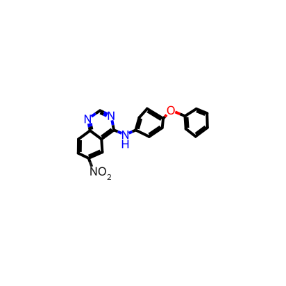 O=[N+]([O-])c1ccc2ncnc(Nc3ccc(Oc4ccccc4)cc3)c2c1